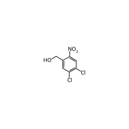 O=[N+]([O-])c1cc(Cl)c(Cl)cc1CO